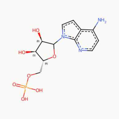 Nc1ccnc2c1ccn2C1O[C@H](COP(=O)(O)O)[C@@H](O)[C@H]1O